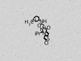 CC(C)c1nn(CC(=O)N[C@@H]2CCCN(C)C2)c(=O)c2cc3sc(Cl)cc3n12